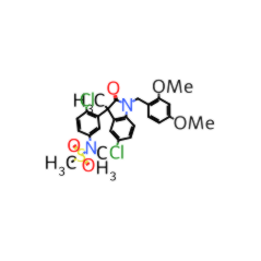 COc1ccc(CN2C(=O)C(C)(c3cc(N(C)S(C)(=O)=O)ccc3Cl)c3cc(Cl)ccc32)c(OC)c1